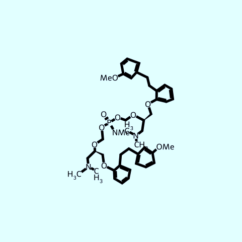 CNP(=O)(OCO[C@@H](COc1ccccc1CCc1cccc(OC)c1)CN(C)C)OCO[C@@H](COc1ccccc1CCc1cccc(OC)c1)CN(C)C